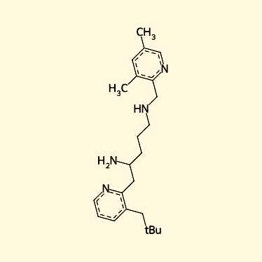 Cc1cnc(CNCCCC(N)Cc2ncccc2CC(C)(C)C)c(C)c1